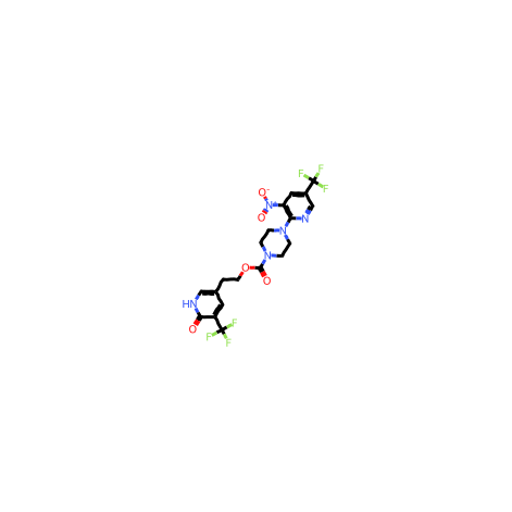 O=C(OCCc1c[nH]c(=O)c(C(F)(F)F)c1)N1CCN(c2ncc(C(F)(F)F)cc2[N+](=O)[O-])CC1